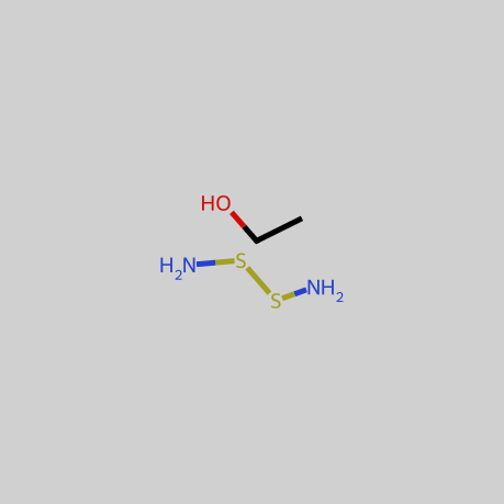 CCO.NSSN